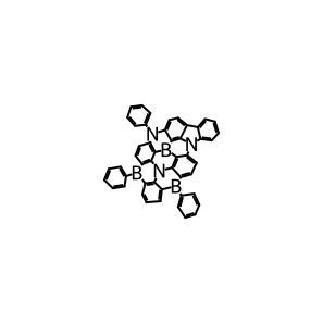 c1ccc(B2c3cccc4c3N3c5c2ccc2c5B5c6c(ccc(c63)B4c3ccccc3)-n3c4ccccc4c4ccc(c5c43)N2c2ccccc2)cc1